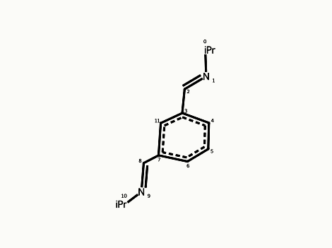 CC(C)/N=C/c1cccc(/C=N/C(C)C)c1